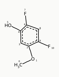 COc1cc(O)c(F)[c]c1F